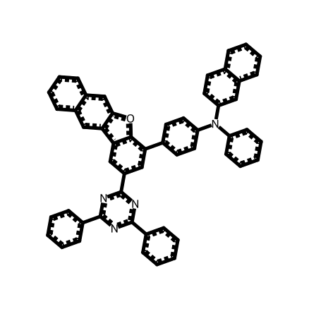 c1ccc(-c2nc(-c3ccccc3)nc(-c3cc(-c4ccc(N(c5ccccc5)c5ccc6ccccc6c5)cc4)c4oc5cc6ccccc6cc5c4c3)n2)cc1